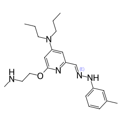 CCCN(CCC)c1cc(/C=N/Nc2cccc(C)c2)nc(OCCNC)c1